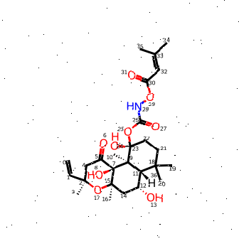 C=C[C@@]1(C)CC(=O)[C@]2(O)[C@]3(C)[C@@H]([C@H](O)C[C@@]2(C)O1)C(C)(C)CC[C@@]3(O)OC(=O)NOC(=O)C=C(C)C